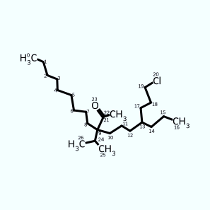 CCCCCCCCCC(CCCC(CCC)CCCCl)(C(C)=O)C(C)C